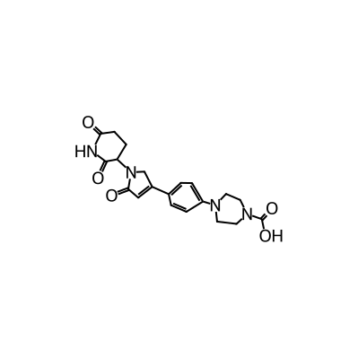 O=C1CCC(N2CC(c3ccc(N4CCN(C(=O)O)CC4)cc3)=CC2=O)C(=O)N1